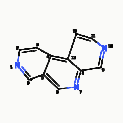 [c]1nccc2c1cnc1cnccc12